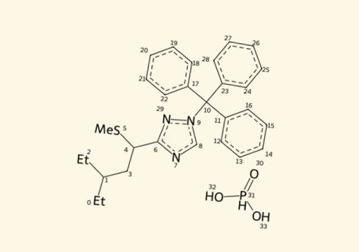 CCC(CC)CC(SC)c1ncn(C(c2ccccc2)(c2ccccc2)c2ccccc2)n1.O=[PH](O)O